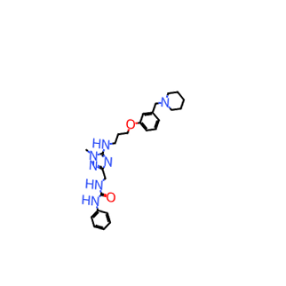 Cn1nc(CNC(=O)Nc2ccccc2)nc1NCCCOc1cccc(CN2CCCCC2)c1